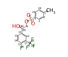 Cc1ccc(S(=O)(=O)OC[C@H](O)c2ccc(F)c(C(F)(F)F)c2)cc1